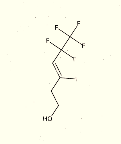 OCC/C(I)=C/C(F)(F)C(F)(F)F